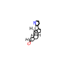 C[C@]12CCC(=O)CC1CC[C@@H]1[C@@H]2CC[C@]2(C)C(c3cccnc3)=CC[C@@H]12